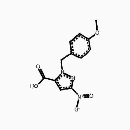 COc1ccc(Cn2nc([N+](=O)[O-])cc2C(=O)O)cc1